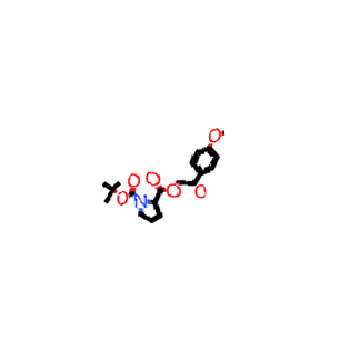 COc1ccc(C(=O)COC(=O)C2CCCN2C(=O)OC(C)(C)C)cc1